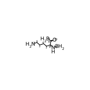 BN[C@@H](CCCCN)C(B)=O